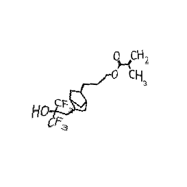 C=C(C)C(=O)OCCCC1CC2CC1CC2CC(O)(C(F)(F)F)C(F)(F)F